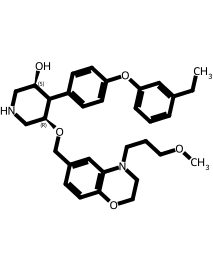 CCc1cccc(Oc2ccc(C3[C@H](O)CNC[C@@H]3OCc3ccc4c(c3)N(CCCOC)CCO4)cc2)c1